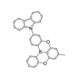 Cc1cc2c3c(c1)Oc1cc(-n4c5ccccc5c5ccccc54)ccc1B3c1ccccc1O2